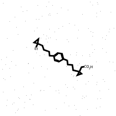 CCC1(CCCCc2ccc(CCCCC3(CC(=O)O)CC3)cc2)CC1